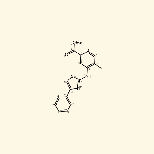 COC(=O)c1ccc(C)c(Nc2nc(-c3ccncc3)cs2)c1